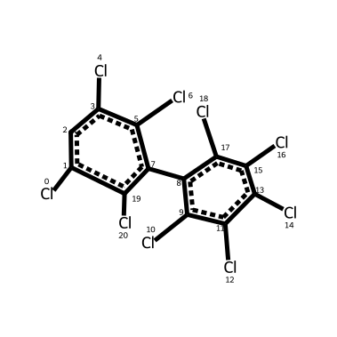 Clc1[c]c(Cl)c(Cl)c(-c2c(Cl)c(Cl)c(Cl)c(Cl)c2Cl)c1Cl